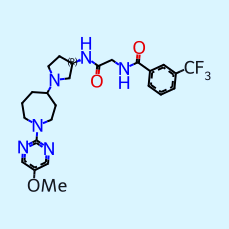 COc1cnc(N2CCCC(N3CC[C@@H](NC(=O)CNC(=O)c4cccc(C(F)(F)F)c4)C3)CC2)nc1